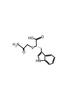 NC(=O)CS[C@@H](Cc1c[nH]c2ccccc12)C(=O)O